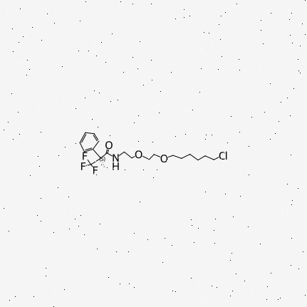 C[C@@](C(=O)NCCOCCOCCCCCCCl)(c1ccccc1)C(F)(F)F